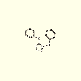 [c]1nc(Oc2ccccc2)c(Oc2ccccc2)s1